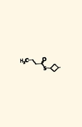 CCCC(=O)SC1C[CH]C1